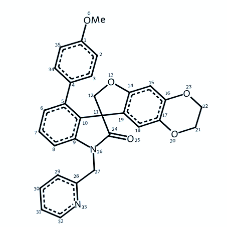 COc1ccc(-c2cccc3c2C2(COc4cc5c(cc42)OCCO5)C(=O)N3Cc2ccccn2)cc1